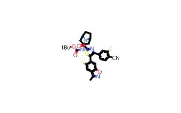 Cc1noc2cc(-c3sc(C(=O)N4C5CCC4CC(NC(=O)OC(C)(C)C)C5)nc3-c3ccc(C#N)c(F)c3)c(F)cc12